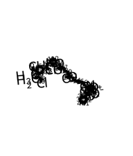 C=C[C@]1(C)CC[C@@H](C(=C)CN2CC[C@H](OC(=O)CCCC(=O)OCC#CCOc3no[n+]([O-])c3S(=O)(=O)c3ccccc3)C2)C[C@H]1C(=C)CCl